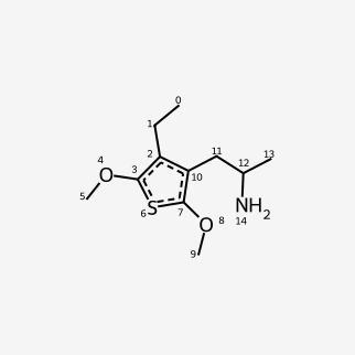 CCc1c(OC)sc(OC)c1CC(C)N